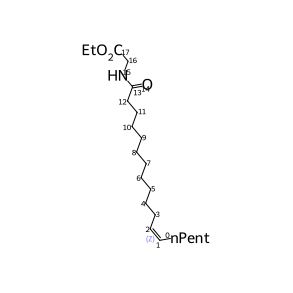 CCCCC/C=C\CCCCCCCCCCC(=O)NCC(=O)OCC